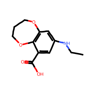 CCNc1cc2c(c(C(=O)O)c1)OCCCO2